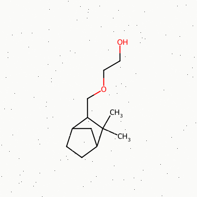 CC1(C)C2CCC(C2)C1COCCO